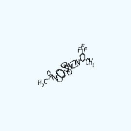 CCCC(=O)N1CCc2cc(S(=O)(=O)N3CCN(c4cc(C)cc(C(F)(F)F)c4)CC3)ccc21